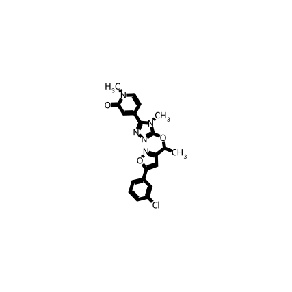 CC(Oc1nnc(-c2ccn(C)c(=O)c2)n1C)c1cc(-c2cccc(Cl)c2)on1